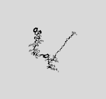 CC[C@H](C)[C@@H](C(CC(=O)N1CCC[C@H]1[C@H](OC)[C@@H](C)C(=O)N[C@@H](Cc1ccccc1)c1nccs1)OC)N(C)C(=O)[C@@H](NC(=O)C(C)(C)NC(=O)OCc1ccc(NC(=O)[C@H](CCCNC(N)=O)NC(=O)[C@@H](NC(=O)CCOCCOCCOCCOCCOCCOCCN)C(C)C)cc1)C(C)C